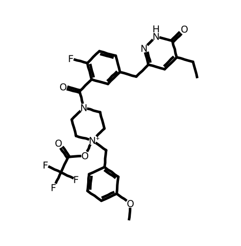 CCc1cc(Cc2ccc(F)c(C(=O)N3CC[N+](Cc4cccc(OC)c4)(OC(=O)C(F)(F)F)CC3)c2)n[nH]c1=O